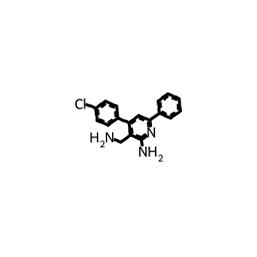 NCc1c(-c2ccc(Cl)cc2)cc(-c2ccccc2)nc1N